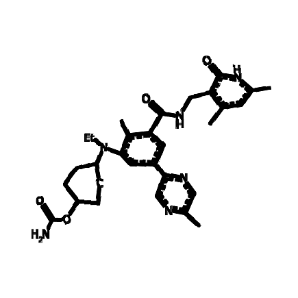 CCN(c1cc(-c2cnc(C)cn2)cc(C(=O)NCc2c(C)cc(C)[nH]c2=O)c1C)C1CCC(OC(N)=O)CC1